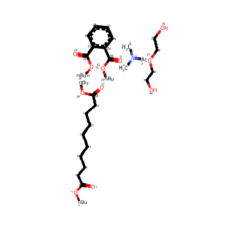 CC(=O)N(C)C.CCCCOC(=O)CCCCCCCCC(=O)OCCCC.CCCCOC(=O)c1ccccc1C(=O)OCCCC.OCCOCCO